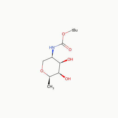 C[C@H]1OC[C@@H](NC(=O)OC(C)(C)C)[C@@H](O)[C@H]1O